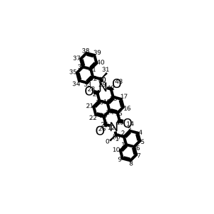 C[C@H](c1cccc2ccccc12)N1C(=O)c2ccc3c4c(ccc(c24)C1=O)C(=O)N([C@H](C)c1cccc2ccccc12)C3=O